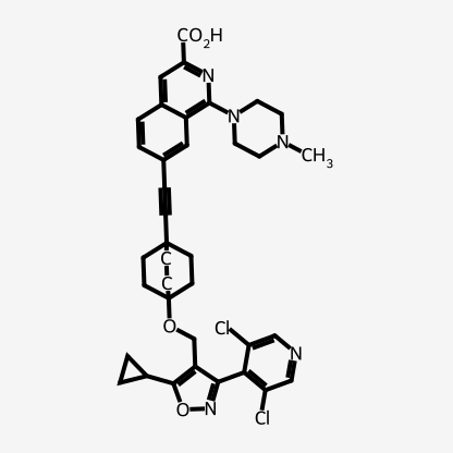 CN1CCN(c2nc(C(=O)O)cc3ccc(C#CC45CCC(OCc6c(-c7c(Cl)cncc7Cl)noc6C6CC6)(CC4)CC5)cc23)CC1